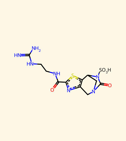 N=C(N)NCCNC(=O)c1nc2c(s1)C1CN(C2)C(=O)N1S(=O)(=O)O